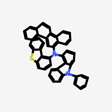 c1ccc(-n2c3ccccc3c3c(N(c4cc5c6ccccc6ccc5c5ccccc45)c4cccc5sc6ccccc6c45)cccc32)cc1